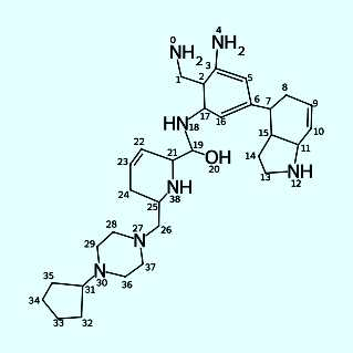 NCC1C(N)=CC(C2CC=CC3NCCC32)=CC1NC(O)C1C=CCC(CN2CCN(C3CCCC3)CC2)N1